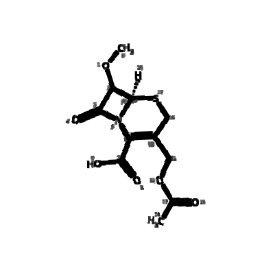 COC1C(=O)N2C(C(=O)O)=C(COC(C)=O)CS[C@H]12